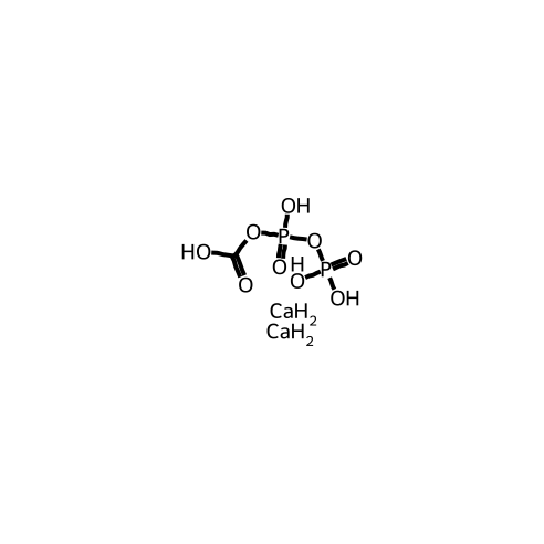 O=C(O)OP(=O)(O)OP(=O)(O)O.[CaH2].[CaH2]